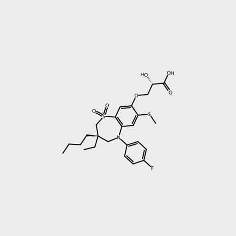 CCCC[C@]1(CC)CN(c2ccc(F)cc2)c2cc(SC)c(OC[C@H](O)C(=O)O)cc2S(=O)(=O)C1